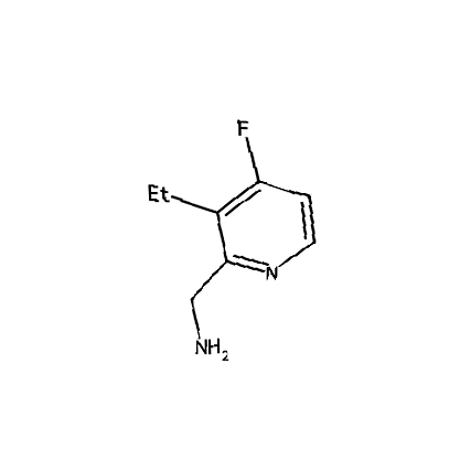 CCc1c(F)ccnc1CN